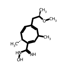 CO[C@H](C)CC1=C/C(C)/C=C(/C(=N)NO)[C@H](C)/C=C\1